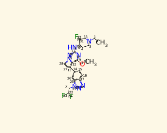 CCN1CC[C@H](Nc2nc(OC)c3c(-c4ccc5nnn(CC(F)F)c5c4)ccn3n2)[C@H](F)C1